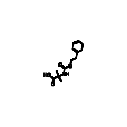 CC(C)(NC(=O)OCCc1ccccc1)C(=O)O